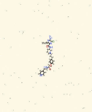 CNc1nc(N)c(Cl)nc1C(=O)NC1CCCN(CCCc2ccc(OCC(=O)NCCc3ccncc3)cc2)C1